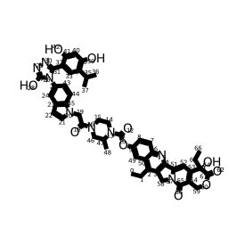 CCc1c2c(nc3ccc(OC(=O)N4CCN(C(=O)Cn5ccc6cc(-n7c(O)nnc7-c7cc(C(C)C)c(O)cc7O)ccc65)CC4C)cc13)-c1cc3c(c(=O)n1C2)COC(=O)[C@]3(O)CC